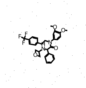 COc1ccc(N(CCc2ccc(C(F)(F)F)cc2)C(=O)C(NC2COC2)c2ccccc2)cc1OC